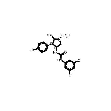 CC(C)(C)C1[C@H](c2ccc(Cl)cc2)[C@H](NC(=O)Nc2cc(Cl)cc(Cl)c2)CN1C(=O)O